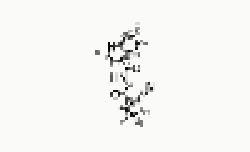 Cc1cc(C(=O)NCC(=O)N2[C@H](C#N)C[C@@H]3C[C@@H]32)c2ccc(F)cc2n1